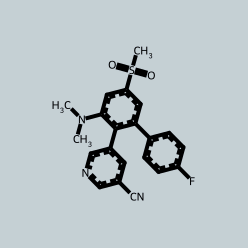 CN(C)c1cc(S(C)(=O)=O)cc(-c2ccc(F)cc2)c1-c1cncc(C#N)c1